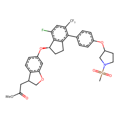 COC(=O)CC1COc2cc(O[C@@H]3CCc4c(-c5ccc(OC6CCN(S(C)(=O)=O)C6)cc5)c(C(F)(F)F)cc(F)c43)ccc21